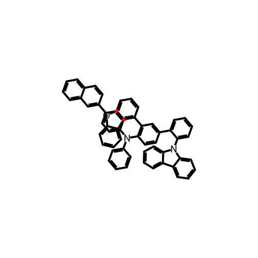 c1ccc(N(c2ccc(-c3ccc4ccccc4c3)cc2)c2ccc(-c3ccccc3-n3c4ccccc4c4ccccc43)cc2-c2cccc3oc4ccccc4c23)cc1